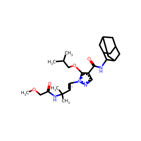 COCC(=O)NC(C)(C)/C=C/n1ncc(C(=O)NC2C3CC4CC(C3)CC2C4)c1OCC(C)C